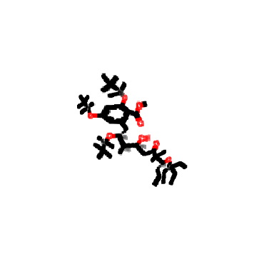 C=CC[C@@H](O[Si](CC)(CC)CC)C(C)(C)C(=O)C[C@H](O)[C@@H](C)[C@@H](Cc1cc(O[Si](C)(C)C(C)(C)C)cc(O[Si](C)(C)C(C)(C)C)c1C(=O)OC)O[Si](C)(C)C(C)(C)C